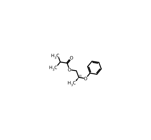 CC(C)C(=O)OC[C@H](C)Oc1ccccc1